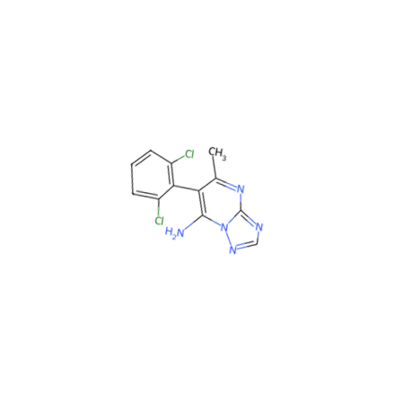 Cc1nc2ncnn2c(N)c1-c1c(Cl)cccc1Cl